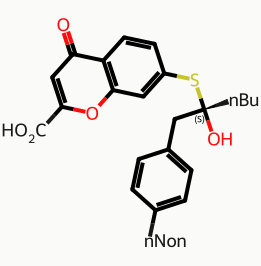 CCCCCCCCCc1ccc(C[C@](O)(CCCC)Sc2ccc3c(=O)cc(C(=O)O)oc3c2)cc1